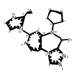 CCC1c2nncn2-c2cnc(-n3ccnc3C)nc2N1C1CCCC1